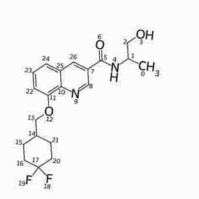 CC(CO)NC(=O)c1cnc2c(OCC3CCC(F)(F)CC3)cccc2c1